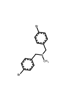 CN(Cc1ccc(Br)cc1)Cc1ccc(Br)cc1